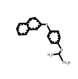 CC(Oc1ccc(Oc2ccc3ccccc3c2)cc1)C(=O)O